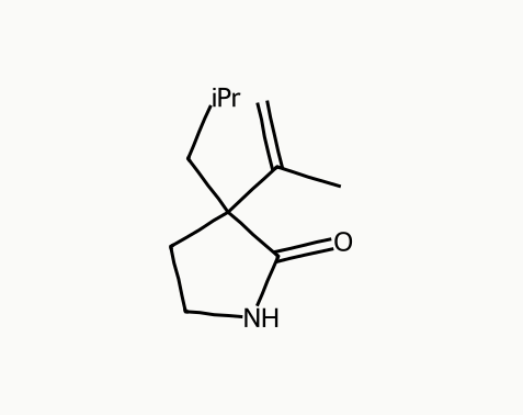 C=C(C)C1(CC(C)C)CCNC1=O